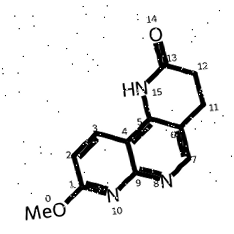 COc1ccc2c3c(cnc2n1)CCC(=O)N3